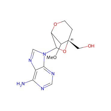 COC1C2OCC[C@]1(CO)OC2n1cnc2c(N)ncnc21